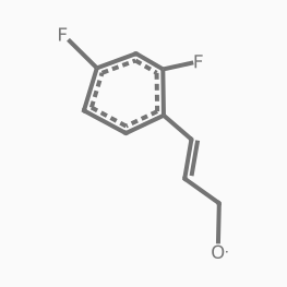 [O]C/C=C/c1ccc(F)cc1F